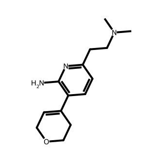 CN(C)CCc1ccc(C2=CCOCC2)c(N)n1